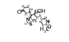 COc1ccc(Cc2cc3scnc3c(-c3cccc(Cl)c3)c2F)cn1.Cl